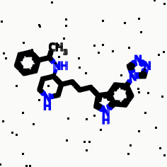 CC(N[C@@H]1CCNCC1CCCc1c[nH]c2ccc(-n3cnnc3)cc12)c1ccccc1